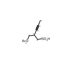 CC#CC(COC(C)=O)CS(=O)(=O)O